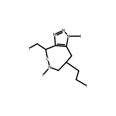 ICCC1Cc2c(nnn2I)C(CI)CN(I)C1